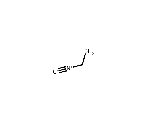 BC[N+]#[C-]